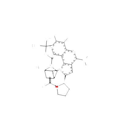 CC(=O)N1CCC[C@@H]1c1cc2c([S+](C)[O-])nc3c(F)c(Cl)ncc3c2n1[C@H]1[C@@H]2C[C@H]1N(C(=O)OC(C)(C)C)C2